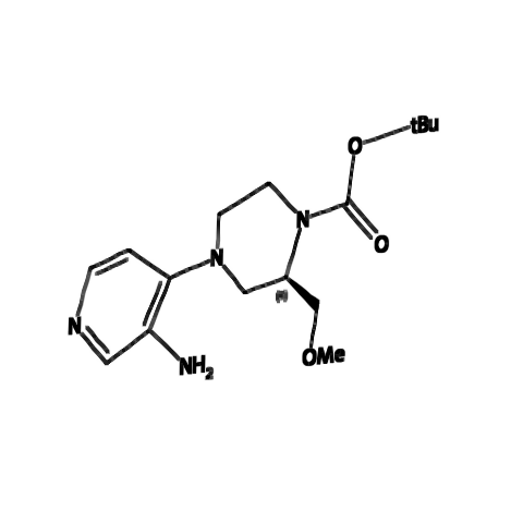 COC[C@H]1CN(c2ccncc2N)CCN1C(=O)OC(C)(C)C